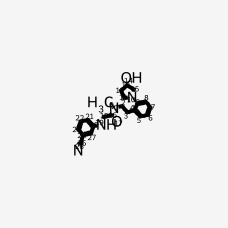 CN(CCc1ccccc1N1CC[C@H](O)C1)C(=O)CNc1cccc(C#N)c1